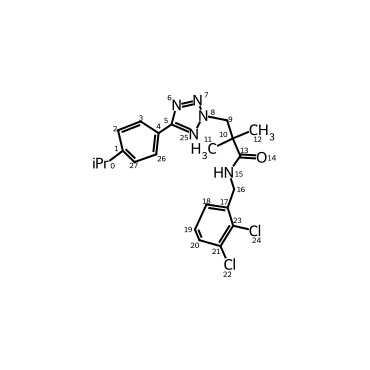 CC(C)c1ccc(-c2nnn(CC(C)(C)C(=O)NCc3cccc(Cl)c3Cl)n2)cc1